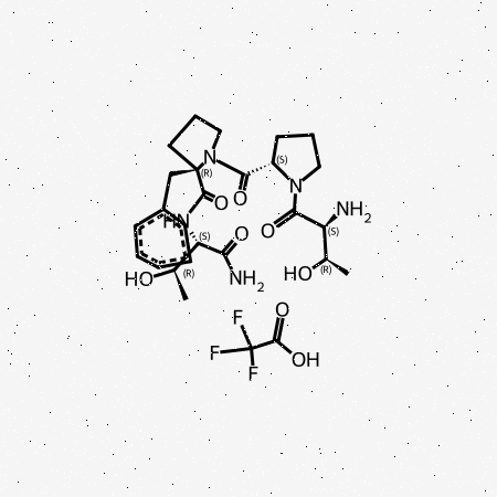 C[C@@H](O)[C@H](N)C(=O)N1CCC[C@H]1C(=O)N1CCC[C@@]1(Cc1ccccc1)C(=O)N[C@H](C(N)=O)[C@@H](C)O.O=C(O)C(F)(F)F